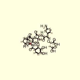 Nc1nc(/C(=N/O[C@@H](CC(=O)O)C(=O)O)C(=O)N[C@@H]2C(=O)N3C(C(=O)O)=C(CN4[C@@H]5CC[C@H]4C[C@@H](NC(=O)c4ccc(O)c(O)c4Cl)C5)CS[C@H]23)cs1